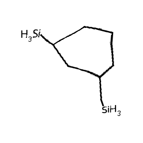 [SiH3]C1CCCC([SiH3])C1